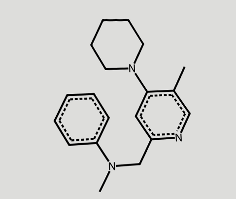 Cc1cnc(CN(C)c2ccccc2)cc1N1CCCCC1